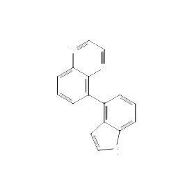 c1cc(-c2cccc3[nH]ccc23)c2nccnc2c1